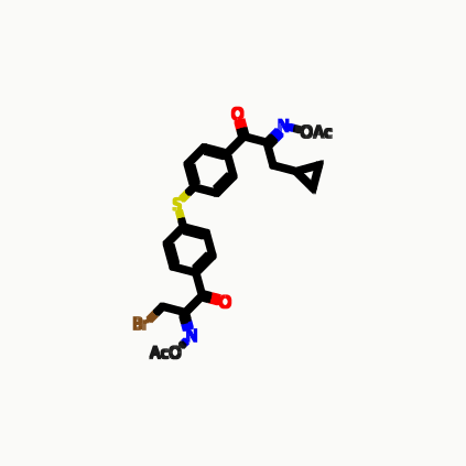 CC(=O)O/N=C(\CBr)C(=O)c1ccc(Sc2ccc(C(=O)/C(CC3CC3)=N/OC(C)=O)cc2)cc1